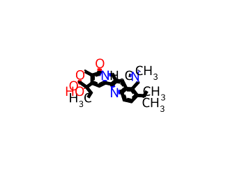 CC[C@@]1(O)C(=O)OCc2c1cc1n(c2=O)Cc2cc3c(CN(C)C)c(C(C)C)ccc3nc2-1